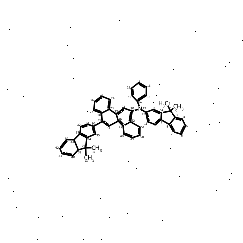 CC1(C)c2ccccc2-c2ccc(N(c3ccccc3)c3cc4c5ccccc5c(-c5ccc6c(c5)C(C)(C)C5C=CC=CC65)cc4c4ccccc34)cc21